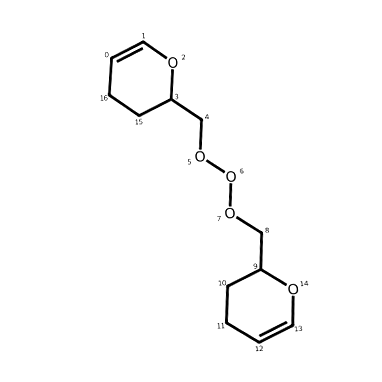 C1=COC(COOOCC2CCC=CO2)CC1